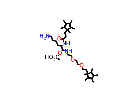 CC(=O)O.CC1=C(C)C(C)(CCOCCOCCNC(=O)C(CCCCN)NC(=O)CCC2(C)C(C)=C(C)C(C)=C2C)C(C)=C1C